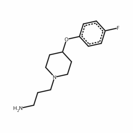 NCCCN1CCC(Oc2ccc(F)cc2)CC1